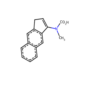 CN(C(=O)O)C1=CCc2cc3ccccc3cc21